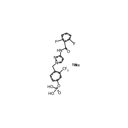 O=C(Nc1ccn(Cc2ccc(OP(=O)(O)O)cc2C(F)(F)F)n1)c1c(F)cccc1F.[Na].[Na]